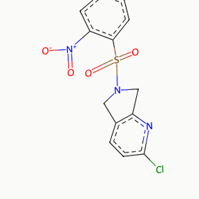 O=[N+]([O-])c1ccccc1S(=O)(=O)N1Cc2ccc(Cl)nc2C1